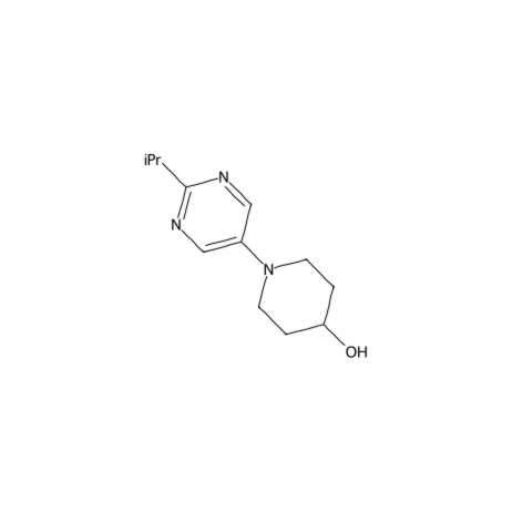 CC(C)c1ncc(N2CCC(O)CC2)cn1